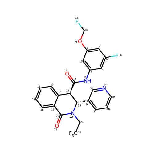 O=C(Nc1cc(F)cc(OCF)c1)[C@@H]1c2ccccc2C(=O)N(CC(F)(F)F)[C@H]1c1cccnc1